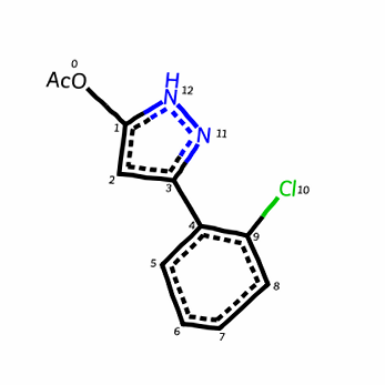 CC(=O)Oc1cc(-c2ccccc2Cl)n[nH]1